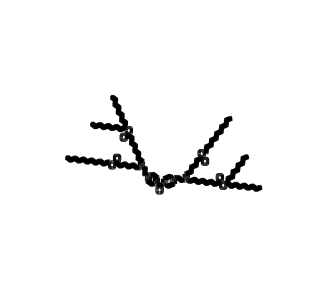 CCCCCCCCCCCOC(=O)CCCCCN(CCCCCCCC(=O)OC(CCCCCCCC)CCCCCCCC)CCN1CCN(C(=O)N2CCN(CCN(CCCCCCCC(=O)OC(CCCCCCCC)CCCCCCCC)CCCCCC(=O)OCCCCCCCCCCC)CC2)CC1